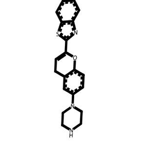 C1=C(c2nc3ccccc3s2)Oc2ccc(N3CCNCC3)cc2C1